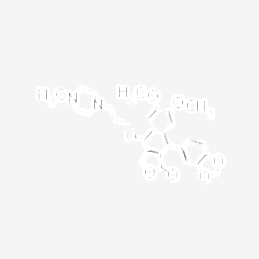 COc1cc2c(OCCCN3CCN(C)CC3)c3c(c(-c4ccc5c(c4)OCO5)c2cc1OC)C(=O)OC3